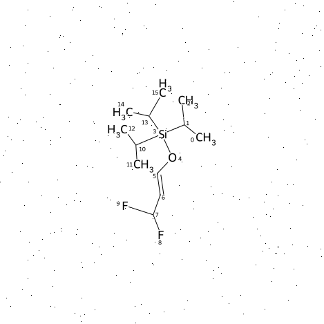 CC(C)[Si](OC=CC(F)F)(C(C)C)C(C)C